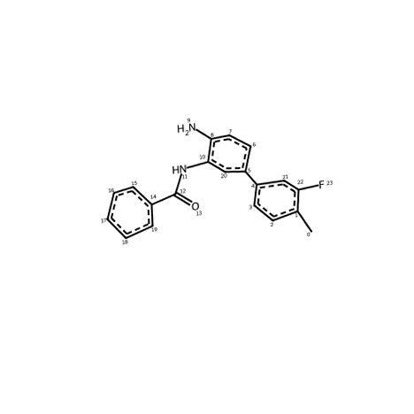 Cc1ccc(-c2ccc(N)c(NC(=O)c3ccccc3)c2)cc1F